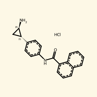 Cl.N[C@@H]1C[C@H]1c1ccc(NC(=O)c2cccc3ccccc23)cc1